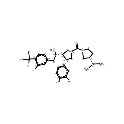 CN(C)[C@H]1CCN(C(=O)N2C[C@H](c3ccc(Cl)c(Cl)c3)[C@H](N(C)Cc3ccc(C(F)(F)F)c(F)c3)C2)C1